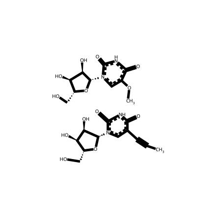 CC#Cc1cn([C@@H]2O[C@H](CO)[C@@H](O)[C@H]2O)c(=O)[nH]c1=O.COc1cn([C@@H]2O[C@H](CO)[C@@H](O)[C@H]2O)c(=O)[nH]c1=O